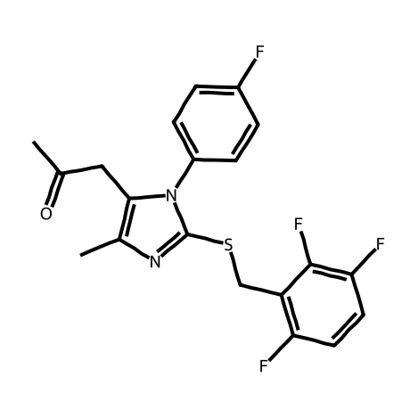 CC(=O)Cc1c(C)nc(SCc2c(F)ccc(F)c2F)n1-c1ccc(F)cc1